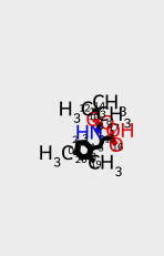 Cc1ccc(CC(NC(=O)OC(C)(C)C)C(=O)O)c(C)c1